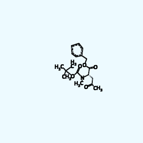 CC(=O)C[C@@H](C(=O)OCc1ccccc1)N(C)C(=O)OC(C)(C)C